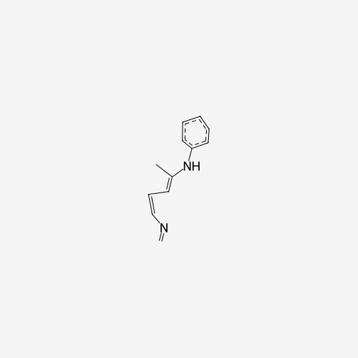 C=N/C=C\C=C(/C)Nc1ccccc1